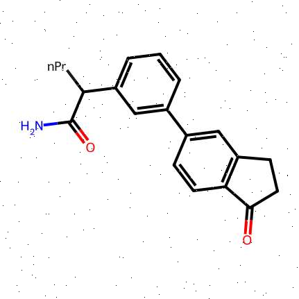 CCCC(C(N)=O)c1cccc(-c2ccc3c(c2)CCC3=O)c1